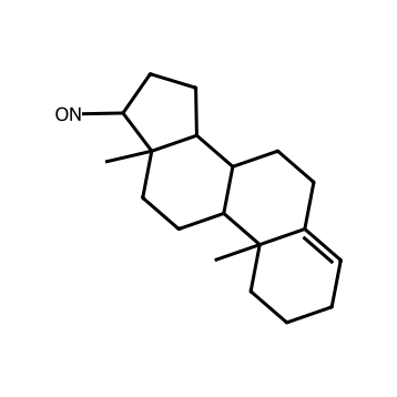 CC12CCCC=C1CCC1C2CCC2(C)C(N=O)CCC12